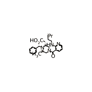 CC(C)CCNc1ncccc1C(=O)N1C[C@@H](CC(=O)O)N(Cc2ccccc2)[C@H](C)C1